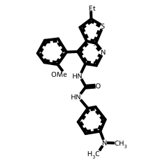 CCc1cc2c(-c3ccccc3OC)c(NC(=O)Nc3ccc(N(C)C)cc3)cnc2s1